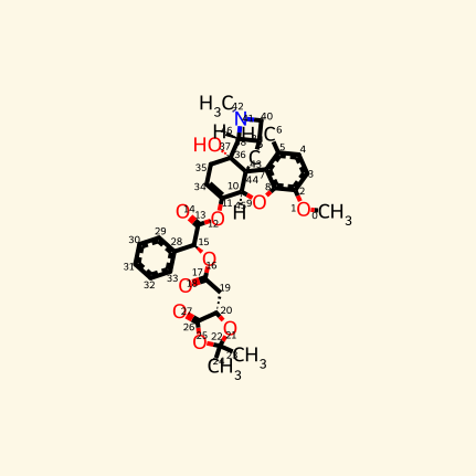 COc1ccc(C)c2c1O[C@H]1C(OC(=O)[C@@H](OC(=O)C[C@@H]3OC(C)(C)OC3=O)c3ccccc3)=CC[C@@]3(O)[C@H]4C(CN4C)C[C@]213